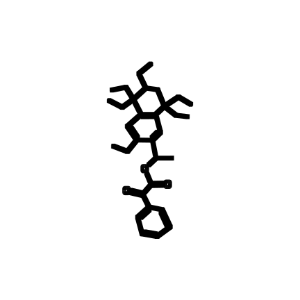 CCc1cc2c(cc1C(C)OC(=O)C(=O)c1ccccc1)C(CC)(CC)CC(CC)C2(CC)CC